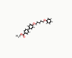 COC(=O)c1ccc(-c2ccc(OCCCCCOc3ccccc3)cc2)cc1